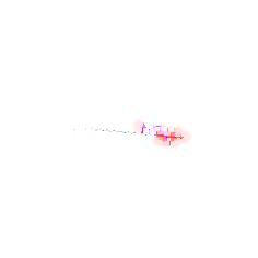 CCCCCCCCCCCCCCCC(CCCC(=O)C(=O)C(=O)C(=O)C(=O)C(=O)C(=O)C=O)C(N)=O